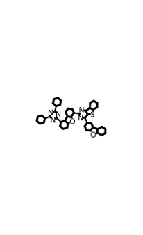 c1ccc(-c2nc(-c3ccccc3)nc(-c3cccc4oc5c(-c6nc(-c7ccc8oc9ccccc9c8c7)c7sc8ccccc8c7n6)cccc5c34)n2)cc1